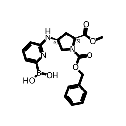 COC(=O)[C@@H]1C[C@H](Nc2cccc(B(O)O)n2)CN1C(=O)OCc1ccccc1